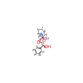 O=C(OC1CC2CCC(C1)N2C(I)I)C(O)c1ccccc1